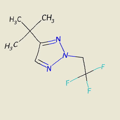 CC(C)(C)c1cnn(CC(F)(F)F)n1